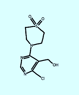 O=S1(=O)CCN(c2ncnc(Cl)c2CO)CC1